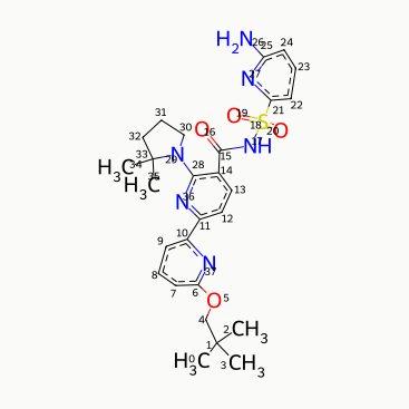 CC(C)(C)COc1cccc(-c2ccc(C(=O)NS(=O)(=O)c3cccc(N)n3)c(N3CCCC3(C)C)n2)n1